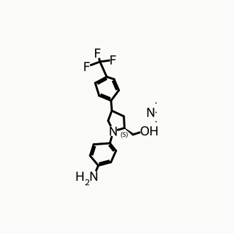 Nc1ccc(N2CC(c3ccc(C(F)(F)F)cc3)C[C@H]2CO)cc1.[N]